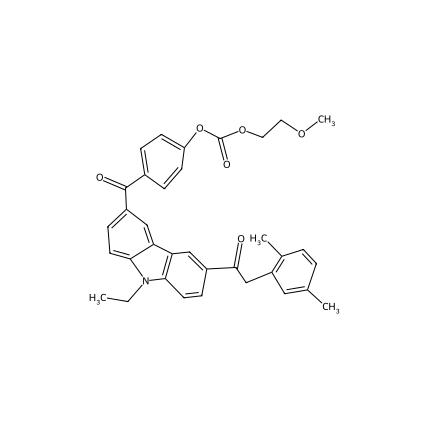 CCn1c2ccc(C(=O)Cc3cc(C)ccc3C)cc2c2cc(C(=O)c3ccc(OC(=O)OCCOC)cc3)ccc21